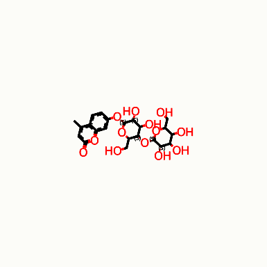 Cc1cc(=O)oc2cc(O[C@@H]3OC(CO)[C@@H](O[C@@H]4OC(CO)C(O)C(O)[C@@H]4O)C(O)[C@@H]3O)ccc12